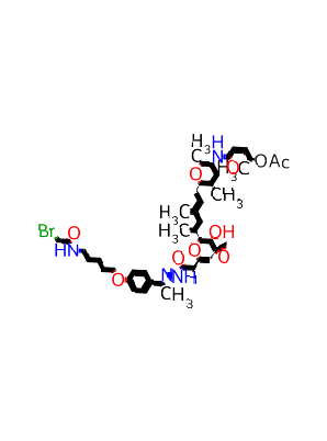 CC(=O)O[C@@H](C)/C=C\C(=O)N[C@@H]1C[C@H](C)[C@H](C/C=C(\C)CC(C)[C@H]2O[C@H](CC(=O)N/N=C(\C)c3ccc(OCCCCCNC(=O)CBr)cc3)C[C@@]3(CO3)[C@@H]2O)O[C@@H]1C